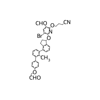 Cc1c(-c2ccc(OCC=O)cc2)cccc1-c1cccc2c1CCC2Oc1nc(OCCCC#N)c(C=O)cc1Br